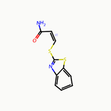 NC(=O)/C=C\Sc1nc2ccccc2s1